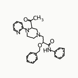 CC(=O)C1CN(CC(OCc2ccccc2)C(=O)Nc2ccccc2)CCN1c1ccccn1